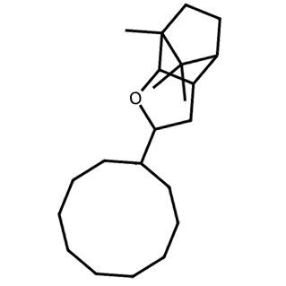 CC1(C)C2CCC1(C)C1OC([C]3CCCCCCCCC3)CC21